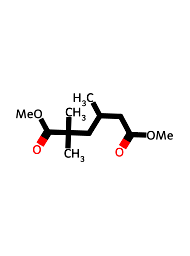 COC(=O)CC(C)CC(C)(C)C(=O)OC